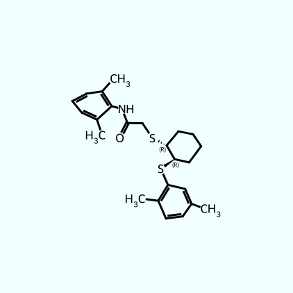 Cc1ccc(C)c(S[C@@H]2CCCC[C@H]2SCC(=O)Nc2c(C)cccc2C)c1